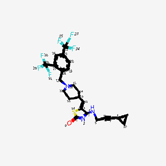 O=C1N=C(NCC#CC2CC2)C(=CC2CCN(Cc3ccc(C(F)(F)F)cc3C(F)(F)F)CC2)S1